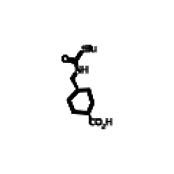 CC(C)(C)C(=O)NC[C@H]1CC[C@H](C(=O)O)CC1